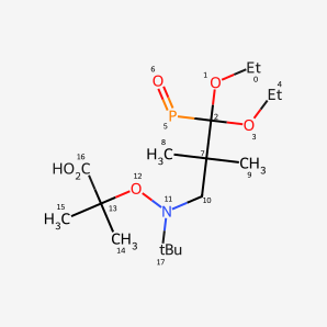 CCOC(OCC)(P=O)C(C)(C)CN(OC(C)(C)C(=O)O)C(C)(C)C